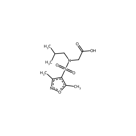 Cc1noc(C)c1S(=O)(=O)N(CC(=O)O)CC(C)C